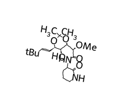 CO[C@@H](C(=O)NC1CCCNC1=O)[C@@H]1OC(C)(C)O[C@H](/C=C/C(C)(C)C)[C@@H]1O